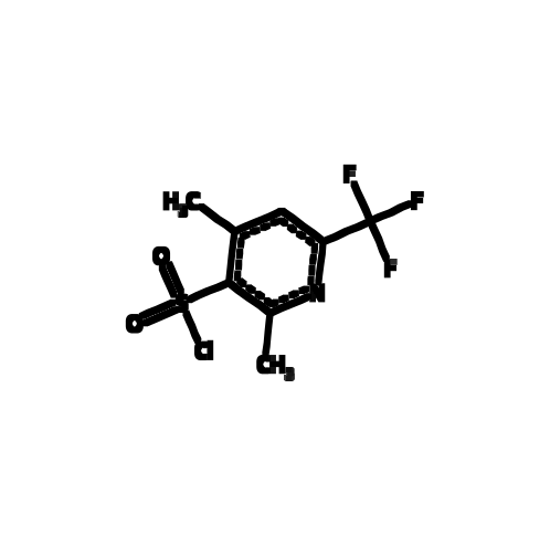 Cc1cc(C(F)(F)F)nc(C)c1S(=O)(=O)Cl